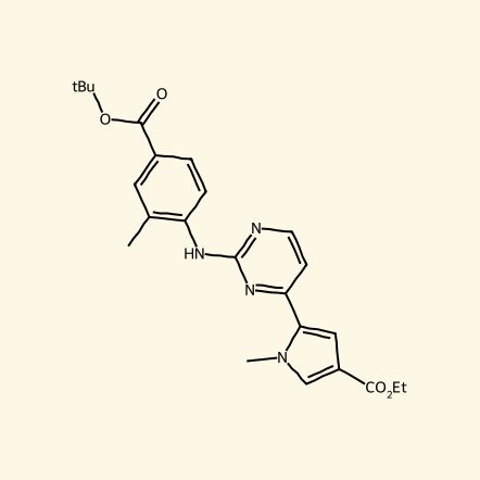 CCOC(=O)c1cc(-c2ccnc(Nc3ccc(C(=O)OC(C)(C)C)cc3C)n2)n(C)c1